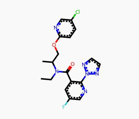 CCN(C(=O)c1cc(F)cnc1-n1nccn1)C(C)COc1ccc(Cl)cn1